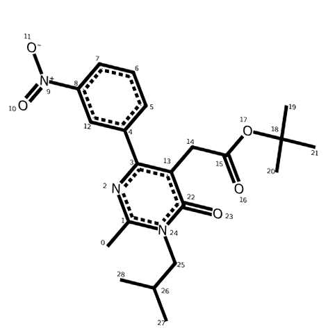 Cc1nc(-c2cccc([N+](=O)[O-])c2)c(CC(=O)OC(C)(C)C)c(=O)n1CC(C)C